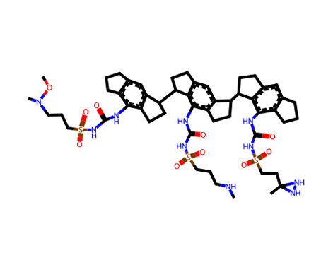 CNCCCS(=O)(=O)NC(=O)Nc1c2c(cc3c1C(C1CCc4c1cc1c(c4NC(=O)NS(=O)(=O)CCCN(C)OC)CCC1)CC3)C(C1CCc3cc4c(c(NC(=O)NS(=O)(=O)CCC5(C)NN5)c31)CCC4)CC2